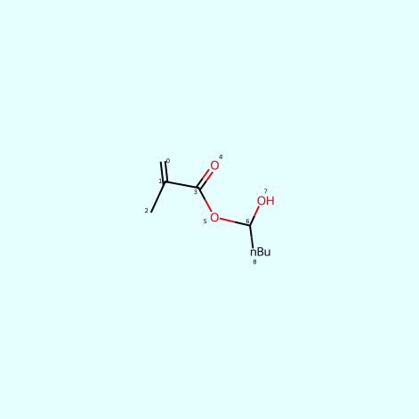 C=C(C)C(=O)OC(O)CCCC